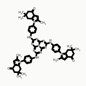 Cc1cc2c(n1-c1ccc(NC3=NC4=NC(Nc5ccc(-n6c(C)cc7c6CC(C)(C)CC7=O)cc5)=NC5=NC(Nc6ccc(-n7c(C)cc8c7CC(C)(C)CC8=O)cc6)=NC(=N3)N45)cc1)CC(C)(C)CC2=O